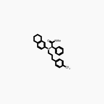 CNC(=O)[C@@H](c1ccccc1)N(CCCc1ccc(C(F)(F)F)cc1)c1ccc2c(c1)CCCC2